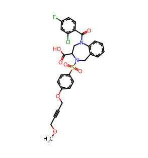 COCC#CCOc1ccc(S(=O)(=O)N2Cc3ccccc3N(C(=O)c3ccc(F)cc3Cl)CC2C(=O)O)cc1